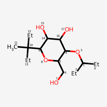 CCC(CC)OC1C(CO)OC(C(C)(CC)CC)C(O)C1O